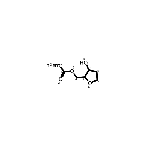 CCCCCC(=O)OCC1OCCC1O